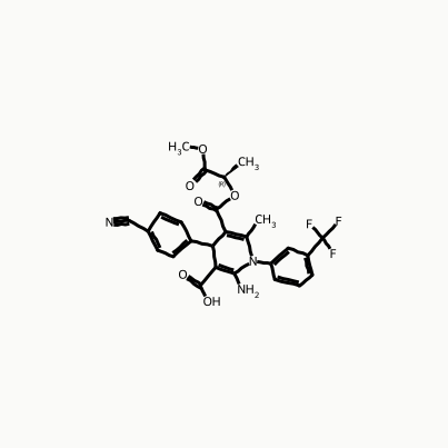 COC(=O)[C@@H](C)OC(=O)C1=C(C)N(c2cccc(C(F)(F)F)c2)C(N)=C(C(=O)O)C1c1ccc(C#N)cc1